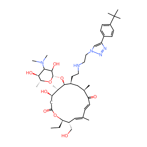 CC[C@H]1OC(=O)C[C@@H](O)[C@H](C)[C@@H](O[C@@H]2O[C@H](C)[C@@H](O)C(N(C)C)C2O)[C@@H](CCNCCn2cc(-c3ccc(C(C)(C)C)cc3)nn2)C[C@@H](C)C(=O)/C=C/C(C)=C/[C@@H]1CO